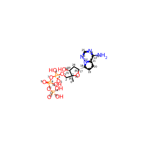 C[C@]1(COP(=O)(O)OP(=O)(O)OP(=O)(O)O)O[C@@H](c2ccc3c(N)ncnn23)C[C@@H]1O